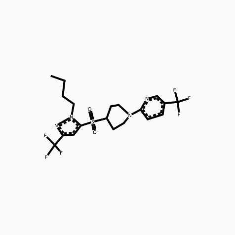 CCCCn1nc(C(F)(F)F)cc1S(=O)(=O)C1CCN(c2ccc(C(F)(F)F)cn2)CC1